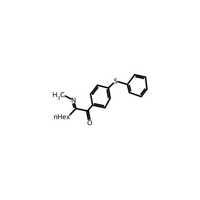 CCCCCCC(=NC)C(=O)c1ccc(Sc2ccccc2)cc1